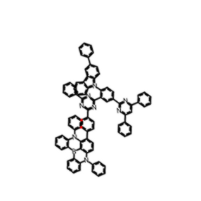 c1ccc(-c2ccc3c(c2)c2ccccc2n3-c2ccc(-c3nc(-c4ccccc4)cc(-c4ccccc4)n3)cc2-c2nc(-c3ccccc3)nc(-c3ccc(-c4ccc5c6c4N(c4ccccc4)c4ccccc4B6c4ccccc4N5c4ccccc4)cc3)n2)cc1